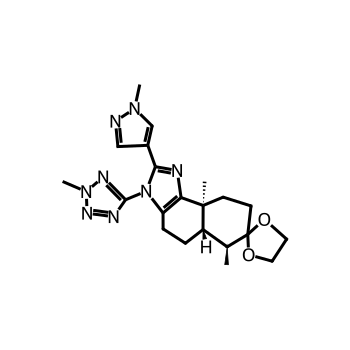 C[C@H]1[C@@H]2CCc3c(nc(-c4cnn(C)c4)n3-c3nnn(C)n3)[C@@]2(C)CCC12OCCO2